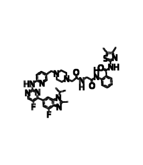 Cc1nc(NC(=O)c2ccccc2NC(=O)CNC(=O)CN2CCN(Cc3ccc(Nc4ncc(F)c(-c5cc(F)c6nc(C)n(C(C)C)c6c5)n4)nc3)CC2)sc1C